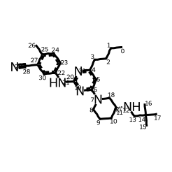 CCCCc1cc(N2CCC[C@@H](NCC(C)(C)C)C2)nc(Nc2ccc(C)c(C#N)c2)n1